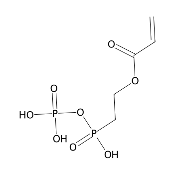 C=CC(=O)OCCP(=O)(O)OP(=O)(O)O